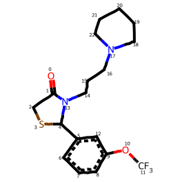 O=C1CSC(c2cccc(OC(F)(F)F)c2)N1CCCN1CCCCC1